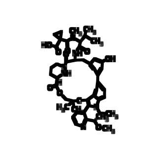 CCn1c(-c2cccnc2[C@H](C)OC)c2c3cc(ccc31)-c1cc(O)cc(c1)C[C@H](NC(=O)[C@H](C(C)C)N(C)C(=O)C1(C(=O)O)CC1)C(=O)N1CCC[C@H](N1)C(=O)OCC(C)(C)C2